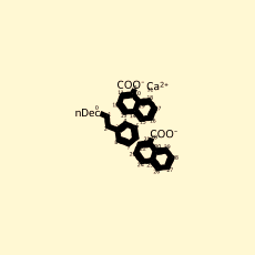 CCCCCCCCCCCCc1ccccc1.O=C([O-])c1cccc2ccccc12.O=C([O-])c1cccc2ccccc12.[Ca+2]